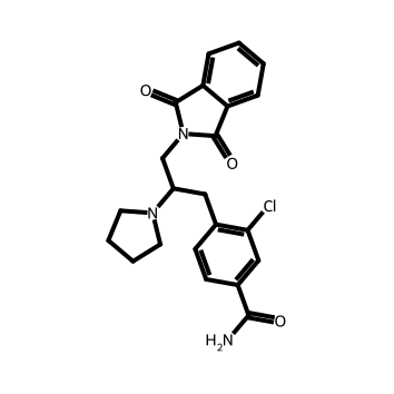 NC(=O)c1ccc(CC(CN2C(=O)c3ccccc3C2=O)N2CCCC2)c(Cl)c1